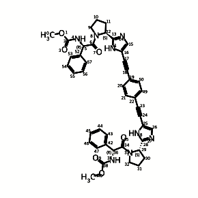 COC(=O)N[C@@H](C(=O)N1CCC[C@H]1c1ncc(C#Cc2ccc(C#Cc3cnc([C@@H]4CCCN4C(=O)[C@H](NC(=O)OC)c4ccccc4)[nH]3)cc2)[nH]1)c1ccccc1